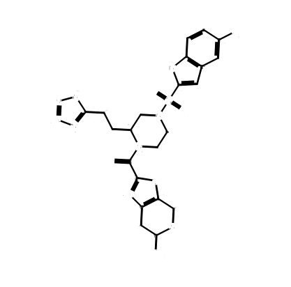 CC1Cc2nc(C(=O)N3CCN(S(=O)(=O)c4cc5cc(Cl)ccc5[nH]4)CC3CCc3nnn[nH]3)sc2CN1